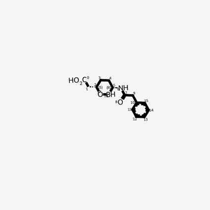 O=C(O)C[C@@H]1CC[C@H](NC(=O)Cc2ccccc2)BO1